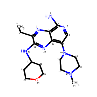 CCc1nc2c(N)ncc(N3CCN(C)CC3)c2nc1NC1CCOCC1